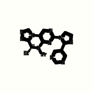 CC[C@@H]1c2nncn2-c2cnc(-n3ccnc3-c3cncnc3)nc2N1C(C)C